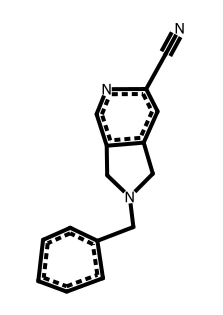 N#Cc1cc2c(cn1)CN(Cc1ccccc1)C2